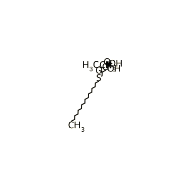 CCCCCCCCCCCCCCCCCSCC(COP(=O)(O)O)OC(C)C